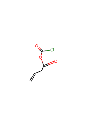 C=CCC(=O)OC(=O)Cl